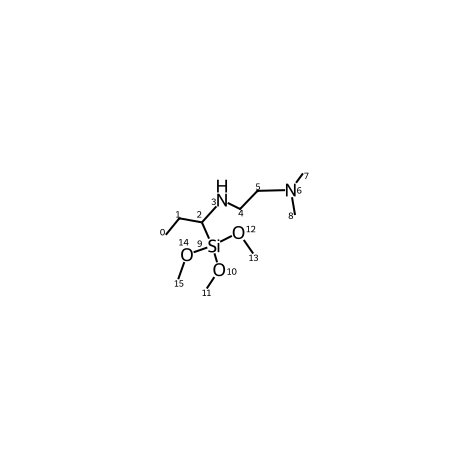 CCC(NCCN(C)C)[Si](OC)(OC)OC